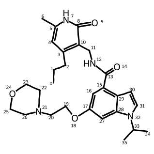 CCCc1cc(C)[nH]c(=O)c1CNC(=O)c1cc(OCCN2CCOCC2)cc2c1ccn2C(C)C